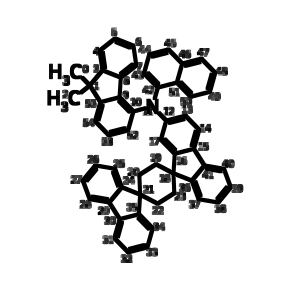 CC1(C)c2ccccc2-c2c(N(c3ccc4c(c3)C3(CCC5(CC3)c3ccccc3-c3ccccc35)c3ccccc3-4)c3cccc4ccccc34)cccc21